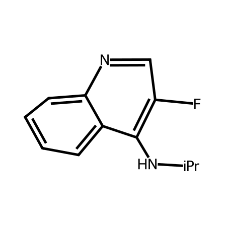 CC(C)Nc1c(F)cnc2ccccc12